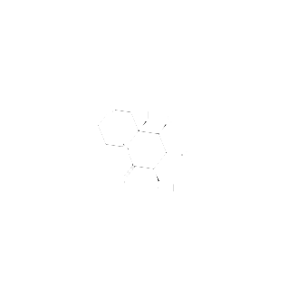 O=C1[C@H](O)[C@@H](O)[C@H](O)[C@H]2CSCCN12